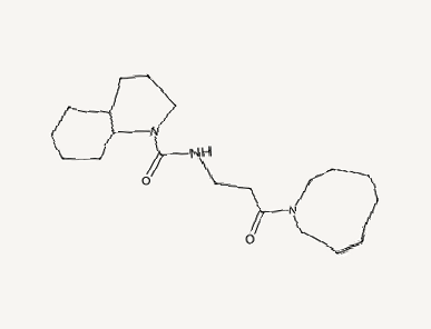 O=C(CCNC(=O)N1CCCC2CCCCC21)N1CCCCCCC1